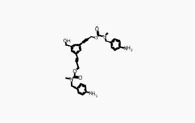 CN(Cc1ccc(N)cc1)C(=O)OCC#Cc1cc(C#CCOC(=O)N(C)Cc2ccc(N)cc2)cc(CO)c1